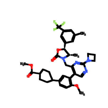 COC(=O)C1CCC(c2ccc(OC)c(-c3cnc(N4CCC4)nc3CN3C(=O)O[C@H](c4cc(C)cc(C(F)(F)F)c4)[C@@H]3C)c2)CC1